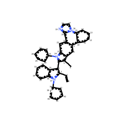 C=Cc1c(-c2c(C)c3cc4c5ccccc5n5ccnc5c4cc3n2-c2ccccc2)c2ccccc2n1-c1ccccc1